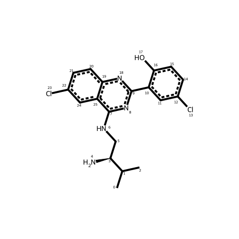 CC(C)[C@@H](N)CNc1nc(-c2cc(Cl)ccc2O)nc2ccc(Cl)cc12